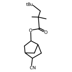 CC(C)(C)CC(C)(C)C(=O)OC1CC2CC1CC2C#N